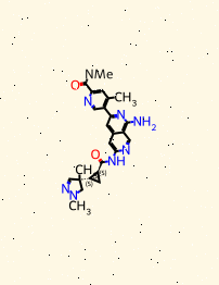 CNC(=O)c1cc(C)c(-c2cc3cc(NC(=O)[C@H]4C[C@@H]4C4(C)C=NN(C)C4)ncc3c(N)n2)cn1